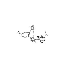 COc1ccc2c(c1)-c1oncc1Cc1c(-c3nc(C(C)C)no3)ncn1-2